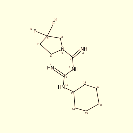 N=C(NC(=N)N1CCC(F)(F)C1)NC1CCCCC1